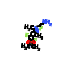 Cc1nn(C/C(F)=C/CN)c(C)c1Cc1cc(F)c(S(=O)(=O)N(C)C)cc1F